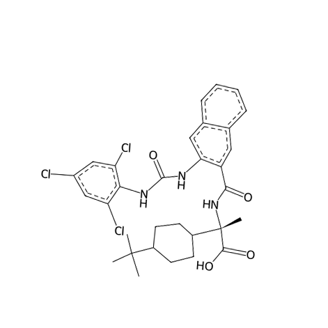 CC(C)(C)C1CCC([C@](C)(NC(=O)c2cc3ccccc3cc2NC(=O)Nc2c(Cl)cc(Cl)cc2Cl)C(=O)O)CC1